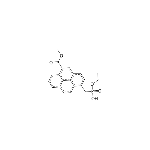 CCOP(=O)(O)Cc1ccc2cc(C(=O)OC)c3cccc4ccc1c2c43